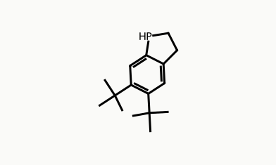 CC(C)(C)c1cc2c(cc1C(C)(C)C)PCC2